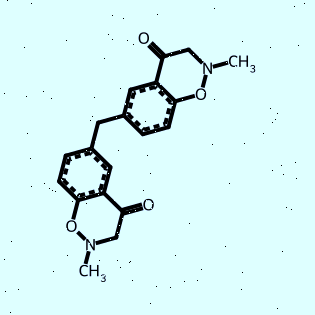 CN1CC(=O)c2cc(Cc3ccc4c(c3)C(=O)CN(C)O4)ccc2O1